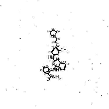 Cc1cc(Nc2nc(NC3C4C=CC(C4)C3C(N)=O)c3ccccc3n2)ccc1OCCN1CCCC1